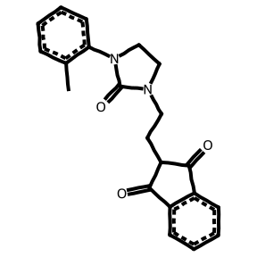 Cc1ccccc1N1CCN(CCC2C(=O)c3ccccc3C2=O)C1=O